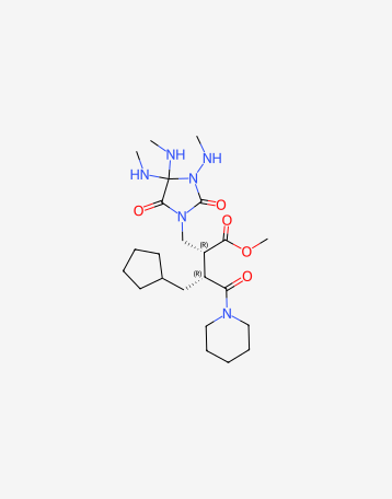 CNN1C(=O)N(C[C@H](C(=O)OC)[C@@H](CC2CCCC2)C(=O)N2CCCCC2)C(=O)C1(NC)NC